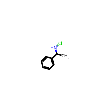 CC(NCl)c1ccccc1